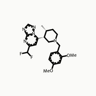 COc1ccc(CN2CC[C@@H](C)[C@@H](c3cc(C(F)F)nc4ncnn34)C2)c(OC)c1